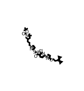 CC(C)(C)OC(=O)N1CC(CCCn2ccc(SNC(=O)c3ccc(-n4ccc(OCCC5C6(CC6)C56CC6)n4)nc3Cl)n2)CC1(C)C